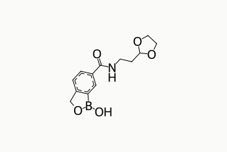 O=C(NCCC1OCCO1)c1ccc2c(c1)B(O)OC2